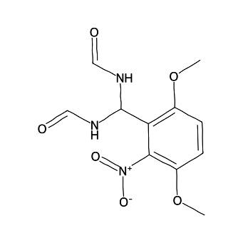 COc1ccc(OC)c([N+](=O)[O-])c1C(NC=O)NC=O